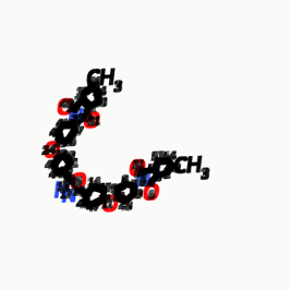 CC1=CC2C(=O)N(c3ccc(Oc4ccc(-c5nnc(-c6ccc(Oc7ccc(N8C(=O)c9ccc(C)cc9C8=O)cc7)cc6)o5)cc4)cc3)C(=O)C2C=C1